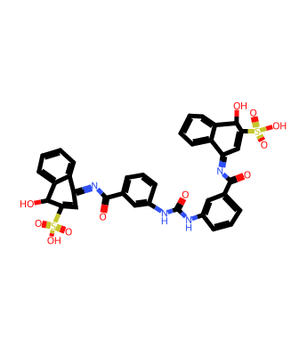 O=C(Nc1cccc(C(=O)N=C2C=C(S(=O)(=O)O)C(O)c3ccccc32)c1)Nc1cccc(C(=O)N=C2C=C(S(=O)(=O)O)C(O)c3ccccc32)c1